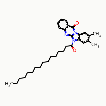 CCCCCCCCCCCCCCCC(=O)n1c2cc(C)c(C)cc2n2c(=O)c3ccccc3nc12